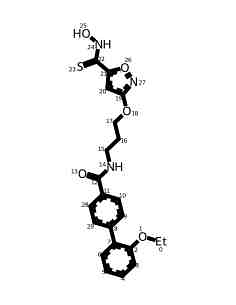 CCOc1ccccc1-c1ccc(C(=O)NCCCOc2cc(C(=S)NO)on2)cc1